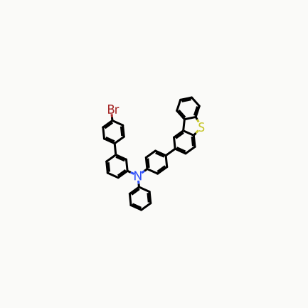 Brc1ccc(-c2cccc(N(c3ccccc3)c3ccc(-c4ccc5sc6ccccc6c5c4)cc3)c2)cc1